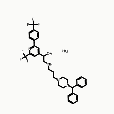 Cl.OC(CNCCCN1CCN(C(c2ccccc2)c2ccccc2)CC1)c1cc(-c2ccc(C(F)(F)F)cc2)nc(C(F)(F)F)c1